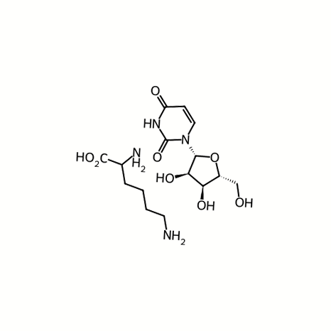 NCCCCC(N)C(=O)O.O=c1ccn([C@@H]2O[C@H](CO)[C@@H](O)[C@H]2O)c(=O)[nH]1